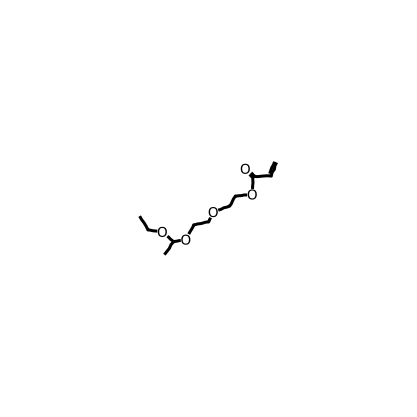 C=CC(=O)OCCOCCOC(C)OCC